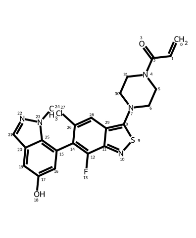 C=CC(=O)N1CCN(c2snc3c(F)c(-c4cc(O)cc5cnn(C)c45)c(Cl)cc23)CC1